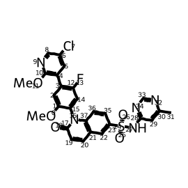 COc1cc(-c2cc(Cl)cnc2OC)c(F)cc1-n1c(=O)ccc2cc(S(=O)(=O)Nc3cc(C)ncn3)ccc21